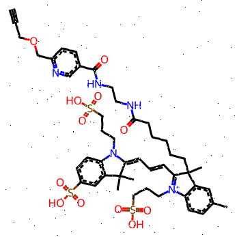 C#CCOCc1ccc(C(=O)NCCNC(=O)CCCCCC2(C)C(C=CC=C3N(CCCS(=O)(=O)O)c4ccc(S(=O)(=O)O)cc4C3(C)C)=[N+](CCCS(=O)(=O)O)c3ccc(C)cc32)cn1